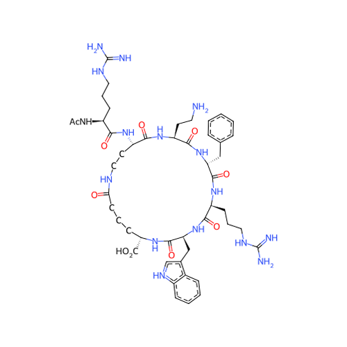 CC(=O)N[C@@H](CCCNC(=N)N)C(=O)N[C@H]1CCNC(=O)CCC[C@@H](C(=O)O)NC(=O)[C@H](Cc2c[nH]c3ccccc23)NC(=O)[C@H](CCCNC(=N)N)NC(=O)[C@@H](Cc2ccccc2)NC(=O)[C@H](CCN)NC1=O